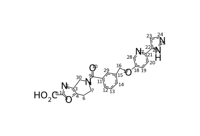 O=C(O)c1nc2c(o1)CCN(C(=O)c1cccc(COc3ccc(-c4ccn[nH]4)nc3)c1)C2